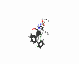 C[C@H]1C[C@H](NS(C)(=O)=O)CN1C(=O)[C@@H]1C[C@H]1c1ccccc1-c1c(F)cccc1F